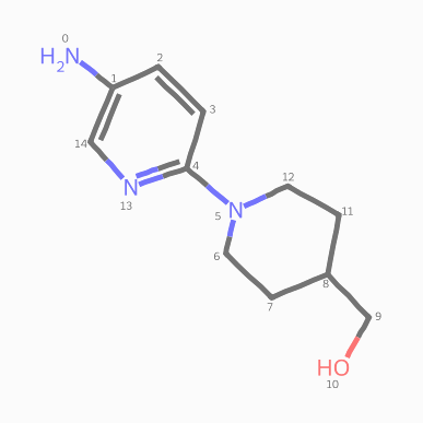 Nc1ccc(N2CCC(CO)CC2)nc1